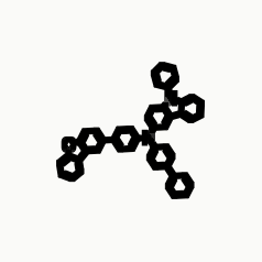 c1ccc(-c2ccc(N(c3ccc(-c4ccc5oc6ccccc6c5c4)cc3)c3ccc4c(c3)c3ccccc3n4-c3ccccc3)cc2)cc1